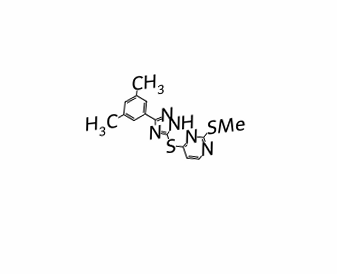 CSc1nccc(Sc2nc(-c3cc(C)cc(C)c3)n[nH]2)n1